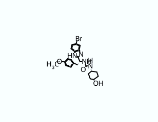 COc1ccc(C[C@@H](NC(=O)N[C@H]2CC[C@H](O)CC2)c2nc3cc(Br)ccc3[nH]2)cc1